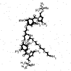 C=C1CC(CO[Si](C)(C)C(C)(C)C)N(C(=O)c2cc(OC)c(OCCC(CCOc3cc(N)c(C(=O)N4CC(=C)CC4CO[Si](C)(C)C(C)(C)C)cc3OC)NC(=O)COCCOCCOCCN)cc2N)C1